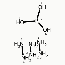 NN.NN.NN.OP(O)O